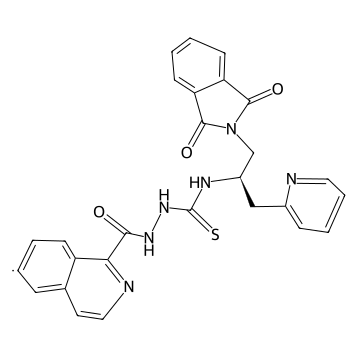 O=C(NNC(=S)N[C@H](Cc1ccccn1)CN1C(=O)c2ccccc2C1=O)c1nccc2c[c]ccc12